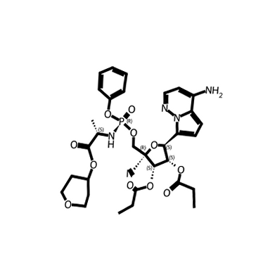 CCC(=O)O[C@H]1[C@H](c2ccc3c(N)ccnn23)O[C@](C#N)(CO[P@](=O)(N[C@@H](C)C(=O)OC2CCOCC2)Oc2ccccc2)[C@H]1OC(=O)CC